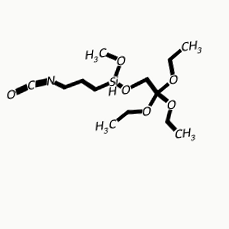 CCOC(CO[SiH](CCCN=C=O)OC)(OCC)OCC